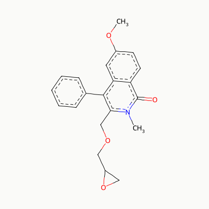 COc1ccc2c(=O)n(C)c(COCC3CO3)c(-c3ccccc3)c2c1